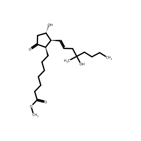 CCCCC(C)(O)C/C=C/[C@@H]1[C@@H](O)CC(=O)[C@@H]1CCCCCCC(=O)OC